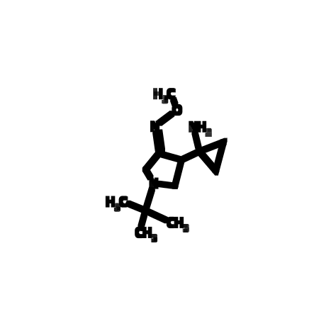 CO/N=C1/CN(C(C)(C)C)CC1C1(N)CC1